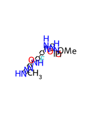 COC(=O)NC(C(=O)N1CCC[C@H]1c1nc(-c2ccc(-c3ccc(NC(=O)c4ccc(N5CCNC[C@@H]5C)nc4)cc3F)cc2)c[nH]1)C(C)C